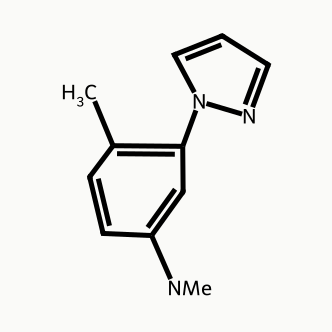 CNc1ccc(C)c(-n2cccn2)c1